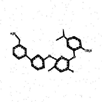 CN(C)c1ccc(C(=O)O)c(Oc2nc(Oc3cccc(-c4cccc(CN)c4)c3)c(F)cc2F)c1